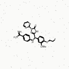 COc1cc(C(Nc2ccc(C(=N)N)cc2)c2nn(-c3ncccn3)c(=O)[nH]2)ccc1OCCF